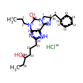 CCCN1C(=O)N2C[C@@H](Cc3ccccc3)N=C2c2[nH]c(CCCC(O)CC)nc21.Cl